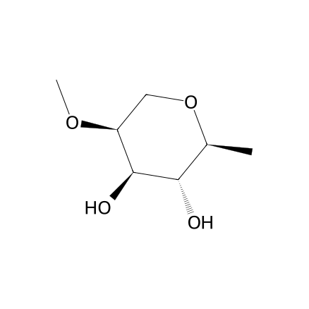 CO[C@H]1CO[C@@H](C)[C@H](O)[C@H]1O